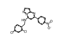 O=[N+]([O-])c1ccc(-c2cc(NCc3ccc(Cl)cc3Cl)n3nccc3n2)cc1